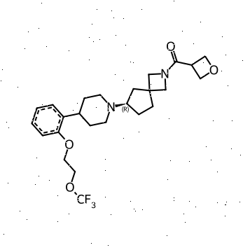 O=C(C1COC1)N1CC2(CC[C@@H](N3CCC(c4ccccc4OCCOC(F)(F)F)CC3)C2)C1